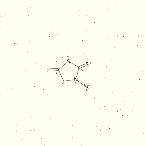 C=C1CN(C(C)=O)C(=S)S1